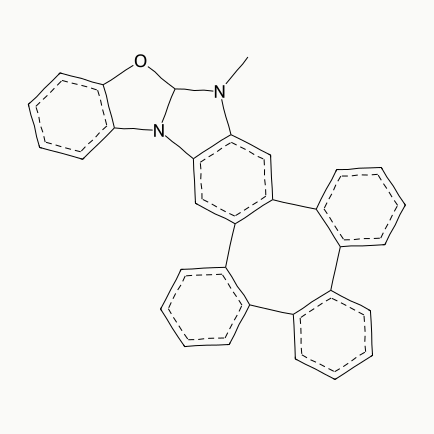 CN1c2cc3c(cc2N2c4ccccc4OC12)-c1ccccc1-c1ccccc1-c1ccccc1-3